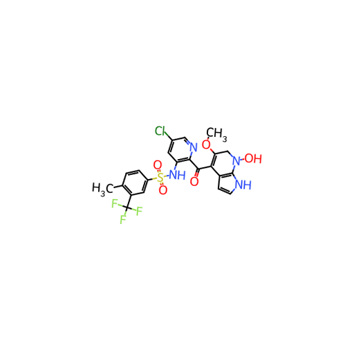 COC1=C(C(=O)c2ncc(Cl)cc2NS(=O)(=O)c2ccc(C)c(C(F)(F)F)c2)c2cc[nH]c2N(O)C1